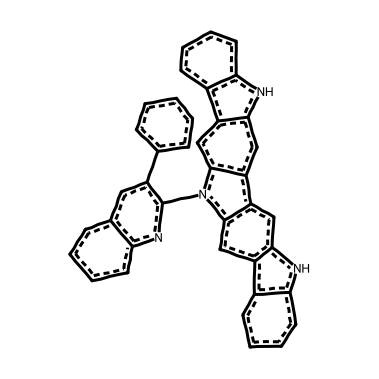 c1ccc(-c2cc3ccccc3nc2-n2c3cc4c(cc3c3cc5[nH]c6ccccc6c5cc32)[nH]c2ccccc24)cc1